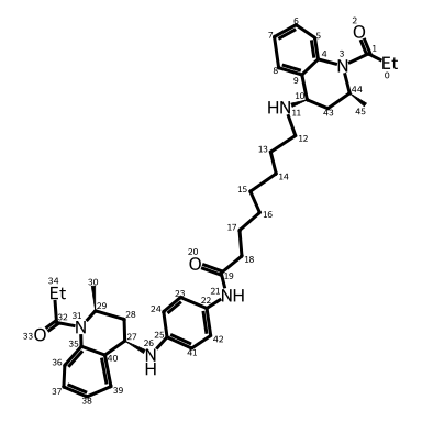 CCC(=O)N1c2ccccc2[C@H](NCCCCCCCC(=O)Nc2ccc(N[C@@H]3C[C@H](C)N(C(=O)CC)c4ccccc43)cc2)C[C@@H]1C